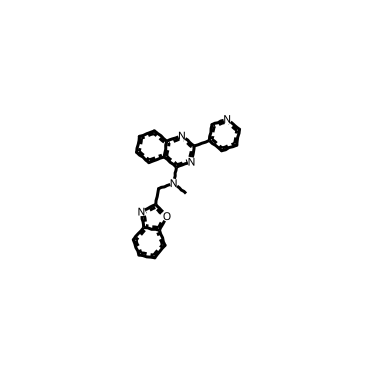 CN(Cc1nc2ccccc2o1)c1nc(-c2cccnc2)nc2ccccc12